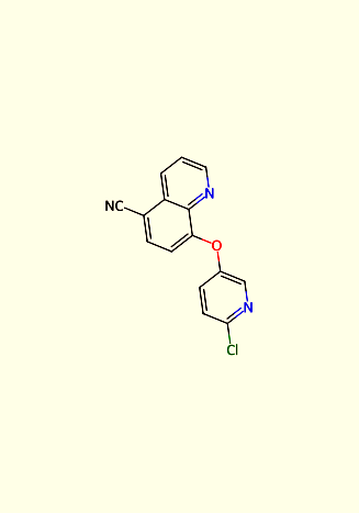 N#Cc1ccc(Oc2ccc(Cl)nc2)c2ncccc12